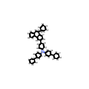 c1ccc(-c2ccc(N(c3ccc(-c4ccccc4)cc3)c3ccc(-c4ccc5c(-c6ccccc6)cc6ccccc6c5c4)cc3)cc2)cc1